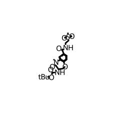 CN1C(=O)[C@@H](NC(=O)OC(C)(C)C)COc2ccc(C(=O)NCCS(C)(=O)=O)cc21